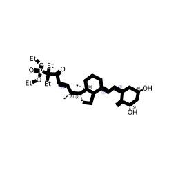 C=C1/C(=C\C=C2/CCC[C@@]3(C)C2CC[C@@H]3[C@H](C)/C=C/C(=O)C(CC)(CC)P(=O)(OCC)OCC)C[C@@H](O)C[C@@H]1O